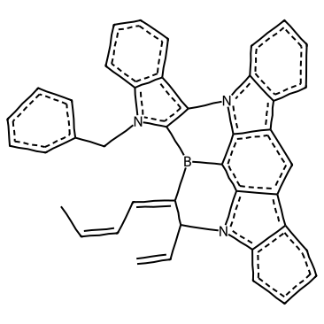 C=CC1/C(=C\C=C/C)B2c3c4c(cc5c6ccccc6n1c35)c1ccccc1n4-c1c2n(Cc2ccccc2)c2ccccc12